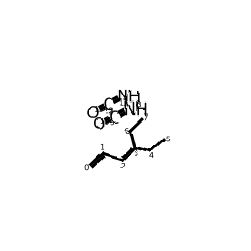 C=CC=C(CC)CC.N=C=O.N=C=O